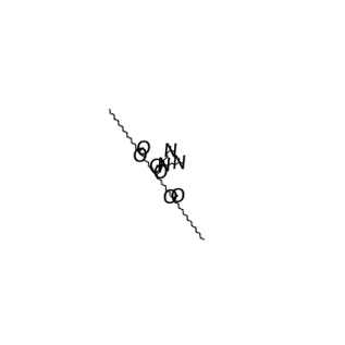 CCCCCCCCCCCCCCC(=O)OCCCCCCC(CCCCCCOC(=O)CCCCCCCCCCCCCC)OC(=O)N(CCCN(C)C)CCCN(C)C